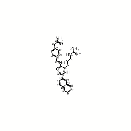 N=C(N)NCCC[C@@H](NC(=O)c1ccc2ccccc2c1)C(=O)NCc1ccc(CC(N)=O)cc1